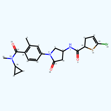 Cc1cc(N2CC(NC(=O)C3CC=C(Br)S3)CC2=O)ccc1C(=O)N(C)C1CC1